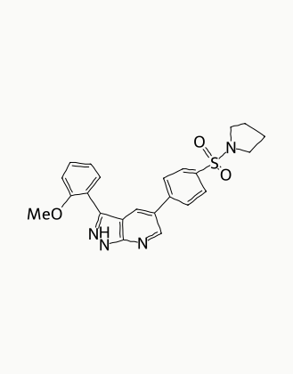 COc1ccccc1-c1n[nH]c2ncc(-c3ccc(S(=O)(=O)N4CCCC4)cc3)cc12